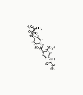 CCNC(=O)Nc1ccc(C=Cc2ccc(NS(=O)(=O)N(C)C)cc2S(=O)(=O)O)c(S(=O)(=O)O)c1